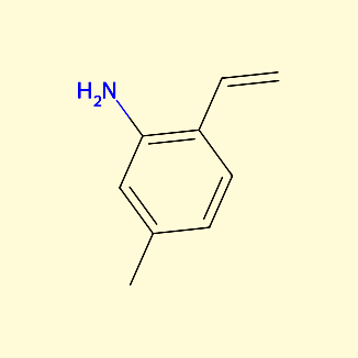 C=Cc1ccc(C)cc1N